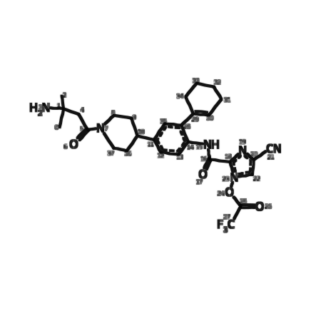 CC(C)(N)CC(=O)N1CCC(c2ccc(NC(=O)c3nc(C#N)cn3OC(=O)C(F)(F)F)c(C3=CCCCC3)c2)CC1